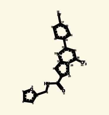 O=C(NCc1ccco1)c1cc2nc(-c3ccc(Br)cc3)cc(C(F)(F)F)n2n1